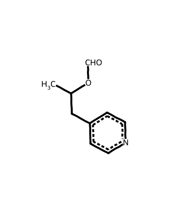 CC(Cc1ccncc1)OC=O